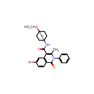 Cc1c(C(=O)NC23CCC(OC(=O)O)(CC2)CC3)c2cc(Br)ccc2c(=O)n1-c1ccccc1